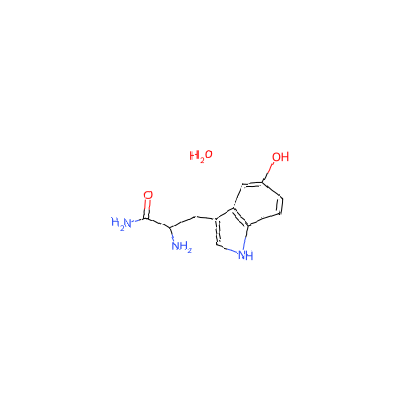 NC(=O)C(N)Cc1c[nH]c2ccc(O)cc12.O